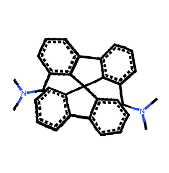 CN(C)Cc1cccc2c1C1(c3ccccc3-c3ccccc31)c1c(CN(C)C)cccc1-2